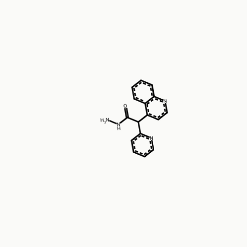 NNC(=O)C(c1ccccn1)c1ccnc2ccccc12